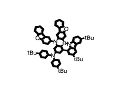 CC(C)(C)c1ccc(N(c2ccc(C(C)(C)C)cc2)c2cc3c4c(c2)N(c2ccc5oc6ccccc6c5c2)c2cc5c(cc2B4n2c4ccc(C(C)(C)C)cc4c4cc(C(C)(C)C)cc-3c42)oc2ccccc25)cc1